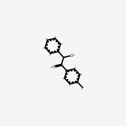 Cc1ccc(C(=O)C(Cl)c2ccccc2)cc1